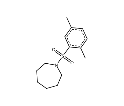 Cc1ccc(C)c(S(=O)(=O)N2CCCCCC2)c1